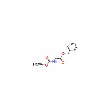 C#COC(=O)NCC(=O)OCc1ccccc1